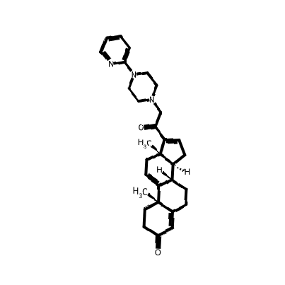 C[C@]12CCC(=O)C=C1CC[C@@H]1C2=CC[C@]2(C)C(C(=O)CN3CCN(c4ccccn4)CC3)=CC[C@@H]12